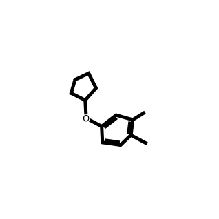 Cc1ccc(OC2CCCC2)cc1C